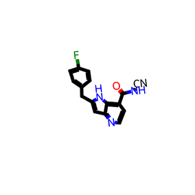 N#CNC(=O)c1ccnc2cc(Cc3ccc(F)cc3)[nH]c12